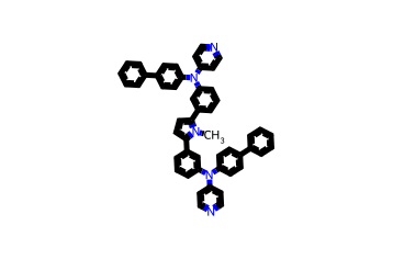 Cn1c(-c2cccc(N(c3ccncc3)c3ccc(-c4ccccc4)cc3)c2)ccc1-c1cccc(N(c2ccncc2)c2ccc(-c3ccccc3)cc2)c1